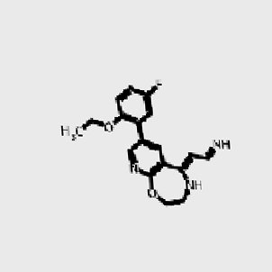 CCOc1ccc(F)cc1-c1cnc2c(c1)/C(=C/C=N)NCCO2